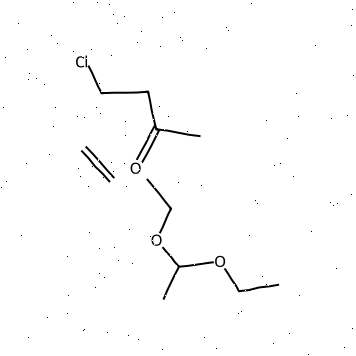 C=C.CC(=O)CCCl.CCOC(C)OCC